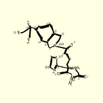 O=C1NC(=O)C(CCC(=O)N2Cc3ccc(C(F)(F)F)cc3C2)(c2nccs2)N1